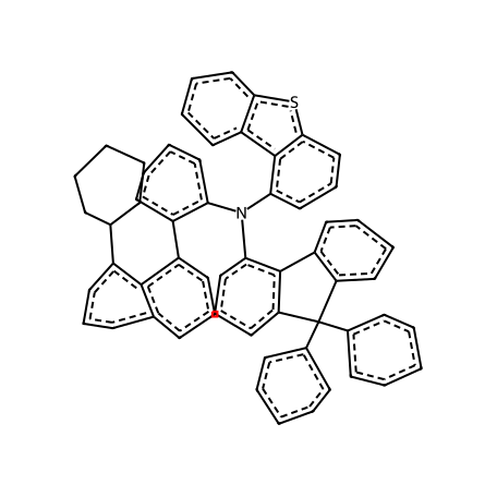 c1ccc(C2(c3ccccc3)c3ccccc3-c3c(N(c4ccccc4-c4cccc5cccc(C6CCCCC6)c45)c4cccc5sc6ccccc6c45)cccc32)cc1